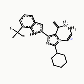 C=C(N)c1c(-c2cc3cccc(C(C)(F)F)c3[nH]2)nc(C2CCCCC2)n1/C=C\N